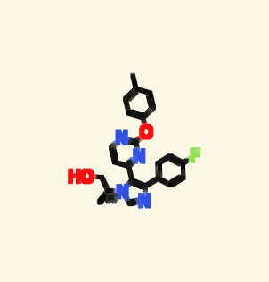 Cc1ccc(Oc2nccc(-c3c(-c4ccc(F)cc4)ncn3[C@@H](C)CO)n2)cc1